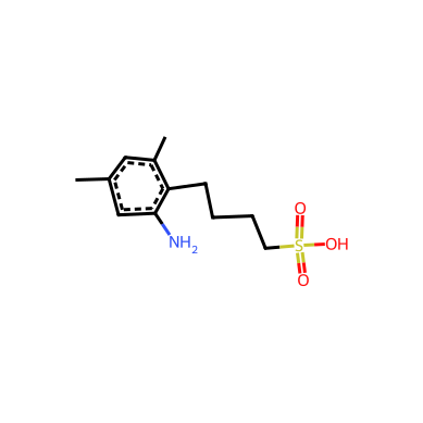 Cc1cc(C)c(CCCCS(=O)(=O)O)c(N)c1